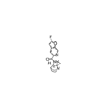 O=C(N[C@@H]1C2CCN(CC2)C12CC2)c1cc2cc(F)oc2cn1